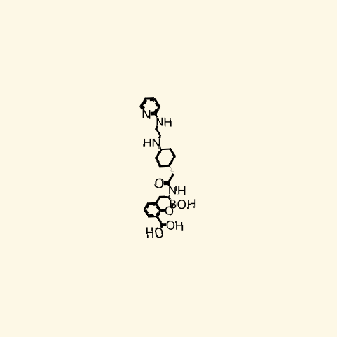 O=C(C[C@H]1CC[C@H](NCCNc2ccccn2)CC1)N[C@H]1Cc2cccc(C(O)O)c2OB1O